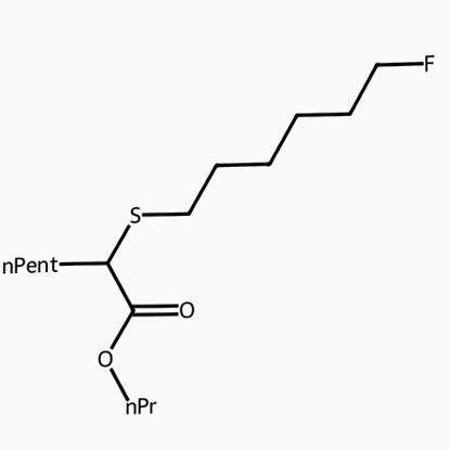 CCCCCC(SCCCCCCF)C(=O)OCCC